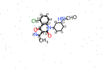 Cc1noc2c1c(=O)n(C1CCCC(NC=O)C1)c1cccc(Cl)c21